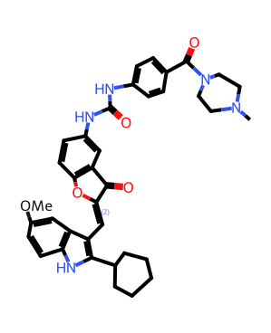 COc1ccc2[nH]c(C3CCCCC3)c(/C=C3\Oc4ccc(NC(=O)Nc5ccc(C(=O)N6CCN(C)CC6)cc5)cc4C3=O)c2c1